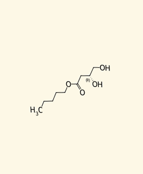 CCCCCOC(=O)C[C@@H](O)CO